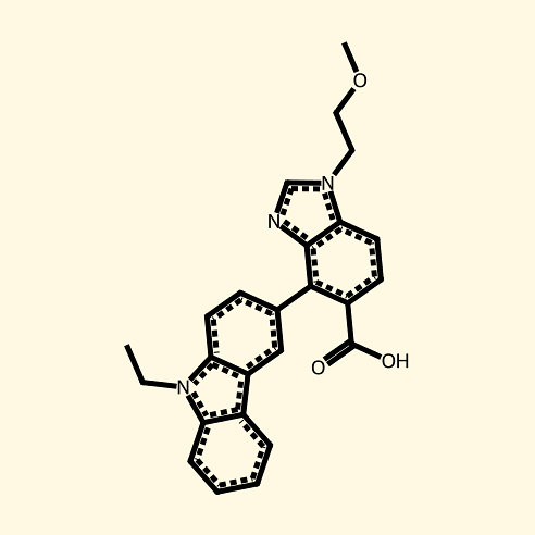 CCn1c2ccccc2c2cc(-c3c(C(=O)O)ccc4c3ncn4CCOC)ccc21